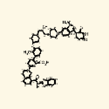 Cc1c(OC2CCC(C[C@H](C)CN3CCN(c4ccc5c(C6CCC(=O)NC6=O)nn(C)c5c4)CC3)CC2)cccc1-c1ccc(N2CCc3cccc(C(=O)Nc4nc5ccccc5s4)c3C2)nc1C(=O)O